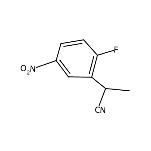 CC(C#N)c1cc([N+](=O)[O-])ccc1F